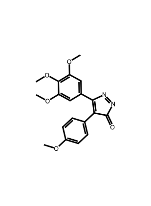 COc1ccc(C2=C(c3cc(OC)c(OC)c(OC)c3)N=NC2=O)cc1